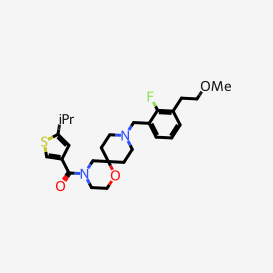 COCCc1cccc(CN2CCC3(CC2)CN(C(=O)c2csc(C(C)C)c2)CCO3)c1F